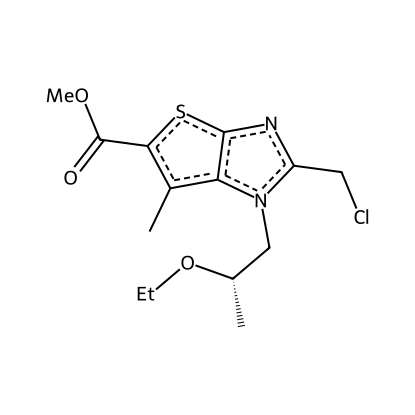 CCO[C@@H](C)Cn1c(CCl)nc2sc(C(=O)OC)c(C)c21